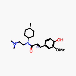 COc1cc(/C=C/C(=O)N(CCN(C)C)[C@H]2CC[C@H](C)CC2)ccc1O